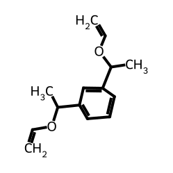 C=COC(C)c1cccc(C(C)OC=C)c1